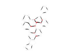 c1ccc(-c2ccc(N(c3ccccc3-c3ccc4oc5ccccc5c4c3)c3ccccc3-c3ccccc3-c3ccc4ccccc4c3)cc2)cc1